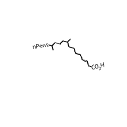 CCCCCC(C)CCCC(C)CCCCCCCC(=O)O